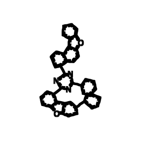 c1ccc(-c2ccc3oc4cccc(-c5nc(-c6ccccc6)nc(-c6cccc7c6ccc6oc8ccccc8c67)n5)c4c3c2)cc1